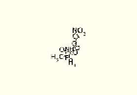 CC(F)[C@H]1C(=O)N[C@@H]1[C@H](C)C(=O)CC(=O)OCc1ccc([N+](=O)[O-])cc1